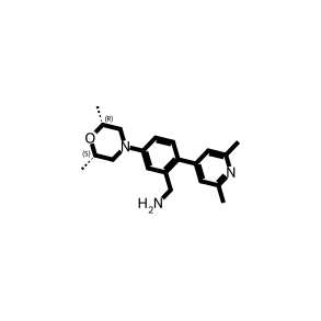 Cc1cc(-c2ccc(N3C[C@@H](C)O[C@@H](C)C3)cc2CN)cc(C)n1